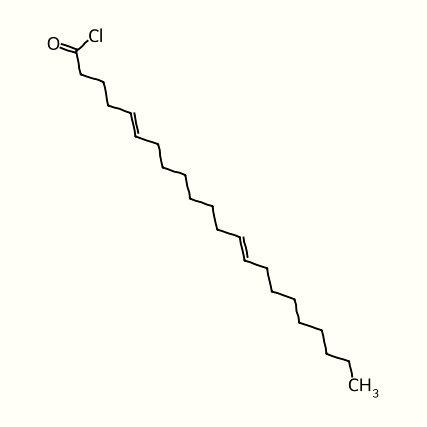 CCCCCCCC/C=C/CCCCCC/C=C/CCCC(=O)Cl